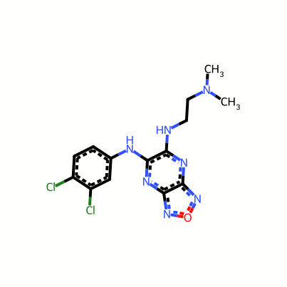 CN(C)CCNc1nc2nonc2nc1Nc1ccc(Cl)c(Cl)c1